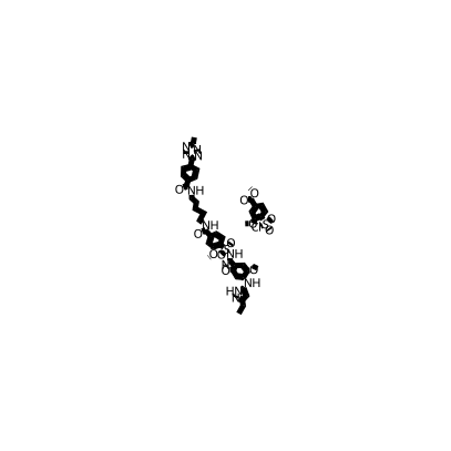 CCc1cc(Nc2cc3onc(NS(=O)(=O)c4ccc(C(=O)NCCCCCNC(=O)c5ccc(-c6nnc(C)nn6)cc5)cc4OC)c3cc2OC)[nH]n1.COC(=O)c1ccc(S(=O)(=O)Cl)c(OC)c1